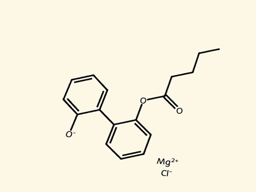 CCCCC(=O)Oc1ccccc1-c1ccccc1[O-].[Cl-].[Mg+2]